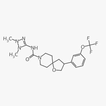 Cn1nc(NC(=O)N2CCC3(CC2)CC(c2cccc(OC(F)(F)F)c2)CO3)n1C